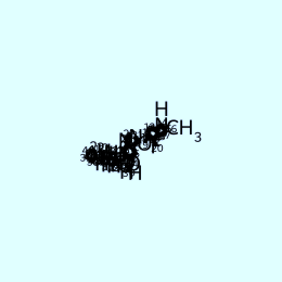 [2H]C([2H])([2H])Oc1cc2c(Oc3ccc4[nH]c(C)cc4c3F)ncnc2cc1OC([2H])([2H])C([2H])([2H])C([2H])([2H])N1CCCC1